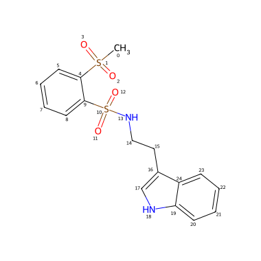 CS(=O)(=O)c1ccccc1S(=O)(=O)NCCc1c[nH]c2ccccc12